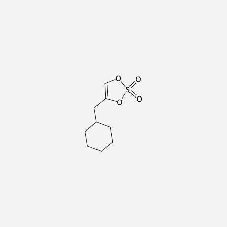 O=S1(=O)OC=C(CC2CCCCC2)O1